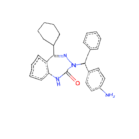 Nc1ccc(C(c2ccccc2)N2N=C(C3CCCCC3)c3ccccc3NC2=O)cc1